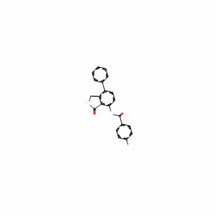 N#Cc1ccc(C(=O)Nc2ccc(-c3ccccc3)c3c2C(=O)NC3)cc1